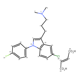 CN(C)CCCc1cn(-c2ccc(F)cc2)c2ccc(Cl)cc12.O=C(O)C=CC(=O)O